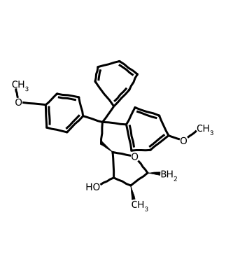 B[C@@H]1O[C@H](CC(c2ccccc2)(c2ccc(OC)cc2)c2ccc(OC)cc2)C(O)[C@@H]1C